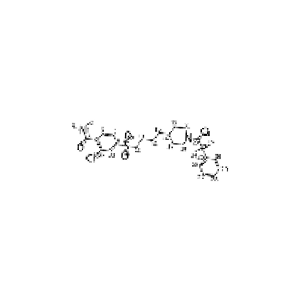 CN(C)C(=O)c1ccc(S(=O)(=O)CCCCC2CCN(C(=O)C(C)(C)c3ccccc3)CC2)cc1Cl